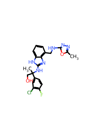 Cc1nnc(NCc2cccc3[nH]c(NC(C)(CO)c4ccc(F)c(Cl)c4)nc23)o1